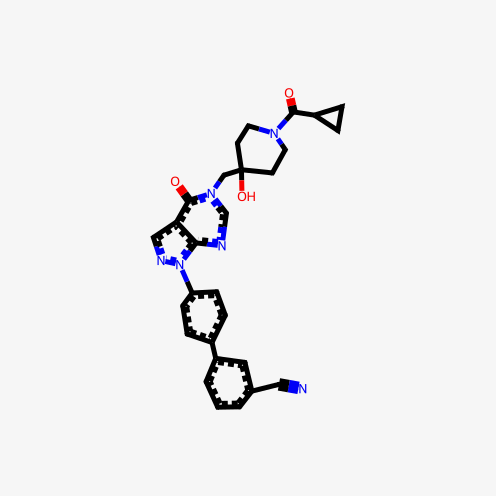 N#Cc1cccc(-c2ccc(-n3ncc4c(=O)n(CC5(O)CCN(C(=O)C6CC6)CC5)cnc43)cc2)c1